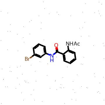 CC(=O)Nc1ccccc1C(=O)Nc1cccc(Br)c1